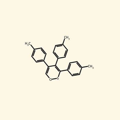 Cc1ccc(C2=COSC(c3ccc(C)cc3)=C2c2ccc(C)cc2)cc1